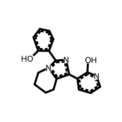 Oc1ccccc1-c1nc(-c2cccnc2O)c2n1CCCC2